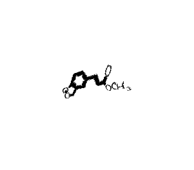 COC(=O)C=Cc1ccc2c(c1)COO2